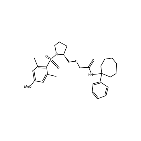 COc1cc(C)c(S(=O)(=O)N2CCC[C@H]2COCC(=O)NC2(c3ccccc3)CCCCCC2)c(C)c1